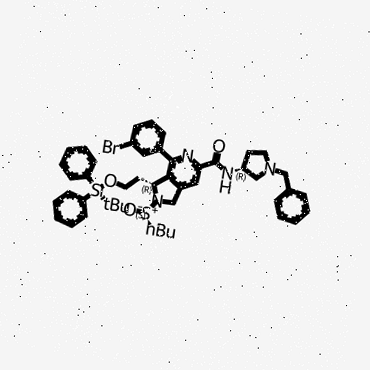 CCCC[S@@+]([O-])N1Cc2cc(C(=O)N[C@@H]3CCN(Cc4ccccc4)C3)nc(-c3cccc(Br)c3)c2[C@H]1CCO[Si](c1ccccc1)(c1ccccc1)C(C)(C)C